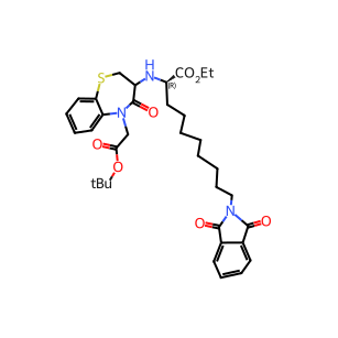 CCOC(=O)[C@@H](CCCCCCCCN1C(=O)c2ccccc2C1=O)NC1CSc2ccccc2N(CC(=O)OC(C)(C)C)C1=O